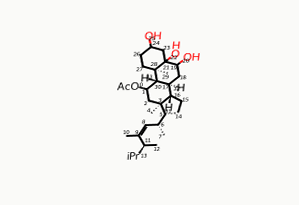 CC(=O)OC1C[C@]2(C)[C@@H]([C@H](C)C=C(C)[C@@H](C)C(C)C)CC[C@H]2[C@@H]2CC(O)C3(O)CC(O)CC[C@]3(C)[C@@H]12